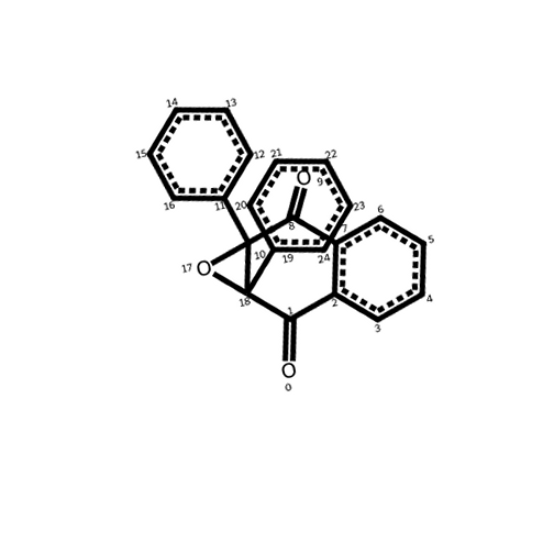 O=C1c2ccccc2C(=O)C2(c3ccccc3)OC12c1ccccc1